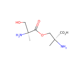 C[C@](N)(COC(=O)[C@@](C)(N)CO)C(=O)O